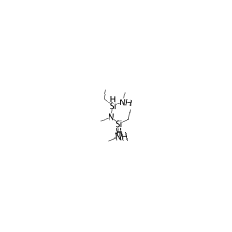 CC[SiH](NC)N(C)[SiH](CC)NC